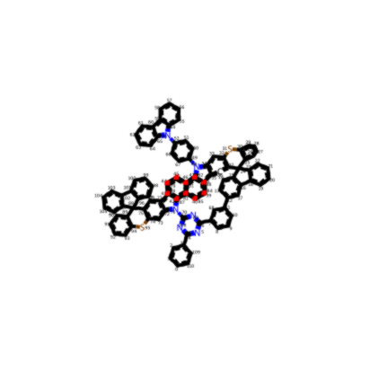 c1ccc(-c2nc(-c3cccc(-c4ccc5c(c4)-c4ccccc4C54c5ccccc5Sc5cc6c(cc54)c4ccc5ccccc5c4n6-c4ccc(-n5c6ccccc6c6ccccc65)cc4)c3)nc(-n3c4cc5c(cc4c4ccc6ccccc6c43)C3(c4ccccc4S5)c4ccccc4-c4ccccc43)n2)cc1